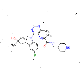 C/C(=N\c1c(C)ncnc1N1CC(CC(C)(C)O)c2cc(F)ccc21)C(=O)NCC1CCNCC1